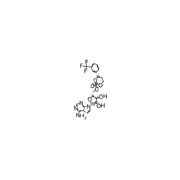 Nc1ncnc2c1ccn2[C@@H]1O[C@H](COP2(=O)OCC[C@@H](c3cccc(C(F)(F)F)c3)O2)[C@@H](O)[C@H]1O